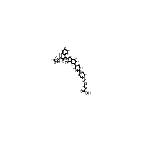 O=C(O)CCOCCN1CCN(c2ccc(-c3ccc4c(c3)C(=O)N(C(C(=O)Nc3nccs3)c3ccccc3)C4)cn2)CC1